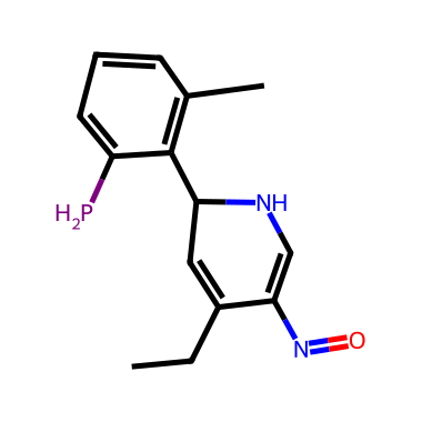 CCC1=CC(c2c(C)cccc2P)NC=C1N=O